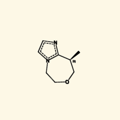 C[C@H]1COCCn2ccnc21